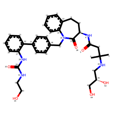 CC(C)(CC(=O)N[C@@H]1CCc2ccccc2N(Cc2ccc(-c3ccccc3NC(=O)NCCO)cc2)C1=O)NC[C@H](O)CO